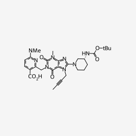 CC#CCn1c(N2CCC[C@@H](NC(=O)OC(C)(C)C)C2)nc2c1c(=O)n(Cc1nc(NC)ccc1C(=O)O)c(=O)n2C